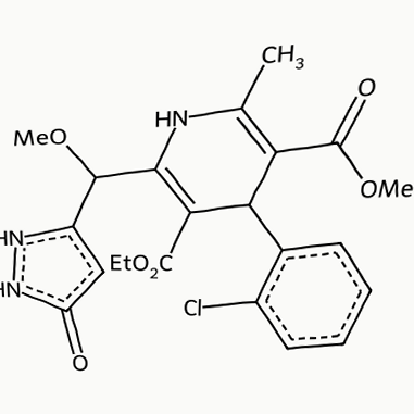 CCOC(=O)C1=C(C(OC)c2cc(=O)[nH][nH]2)NC(C)=C(C(=O)OC)C1c1ccccc1Cl